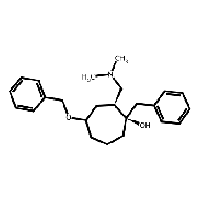 CN(C)C[C@@H]1CC(OCc2ccccc2)CCC[C@@]1(O)Cc1ccccc1